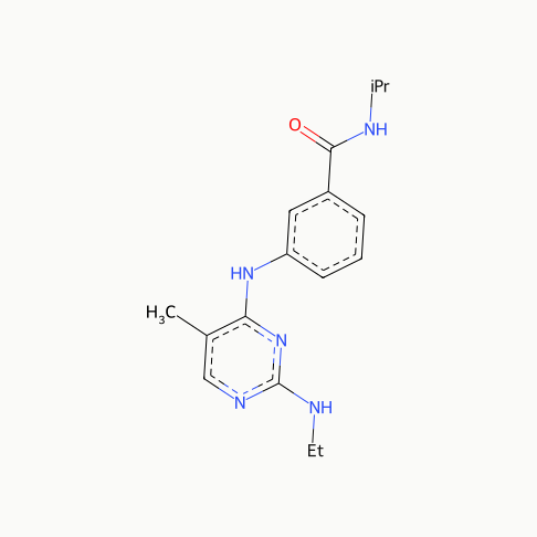 CCNc1ncc(C)c(Nc2cccc(C(=O)NC(C)C)c2)n1